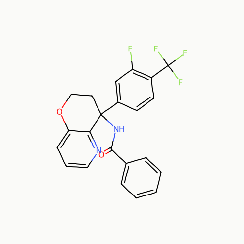 O=C(NC1(c2ccc(C(F)(F)F)c(F)c2)CCOc2cccnc21)c1ccccc1